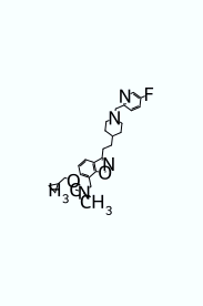 CN(C)Cc1c(OCC2CC2)ccc2c(CCC3CCN(Cc4ccc(F)cn4)CC3)noc12